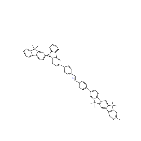 Cc1ccc2c(c1)C(C)(C)c1cc3c(cc1-2)C(C)(C)c1cc(-c2ccc(/C=C/c4ccc(-c5ccc6c(c5)c5ccccc5n6-c5ccc6c(c5)C(C)(C)c5ccccc5-6)cc4)cc2)ccc1-3